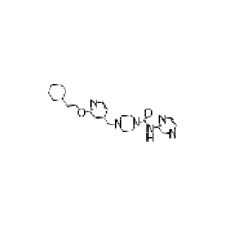 O=C(Nc1cnccn1)N1CCN(Cc2ccnc(OCCC3CCCCC3)c2)CC1